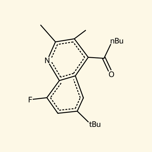 CCCCC(=O)c1c(C)c(C)nc2c(F)cc(C(C)(C)C)cc12